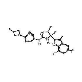 Cc1c(C(F)(NC(=O)Nc2cnc(N3CC(F)C3)nc2)C(F)F)oc2c(F)cc(F)cc12